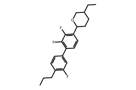 CCCc1ccc(-c2ccc(C3CCC(CC)CO3)c(F)c2F)cc1F